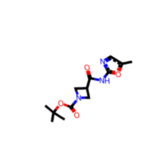 Cc1cnc(NC(=O)C2CN(C(=O)OC(C)(C)C)C2)o1